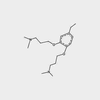 CCc1ccc(OCCCN(C)C)c(OCCCN(C)C)c1